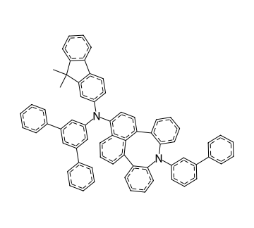 CC1(C)c2ccccc2-c2ccc(N(c3cc(-c4ccccc4)cc(-c4ccccc4)c3)c3ccc4c5c(cccc35)-c3ccccc3N(c3cccc(-c5ccccc5)c3)c3ccccc3-4)cc21